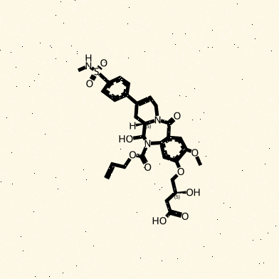 C=CCOC(=O)N1c2cc(OC[C@@H](O)CC(=O)O)c(OC)cc2C(=O)N2CC=C(c3ccc(S(=O)(=O)NC)cc3)C[C@H]2C1O